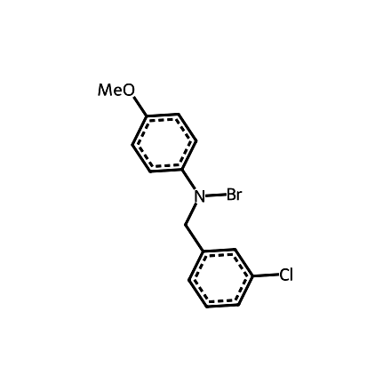 COc1ccc(N(Br)Cc2cccc(Cl)c2)cc1